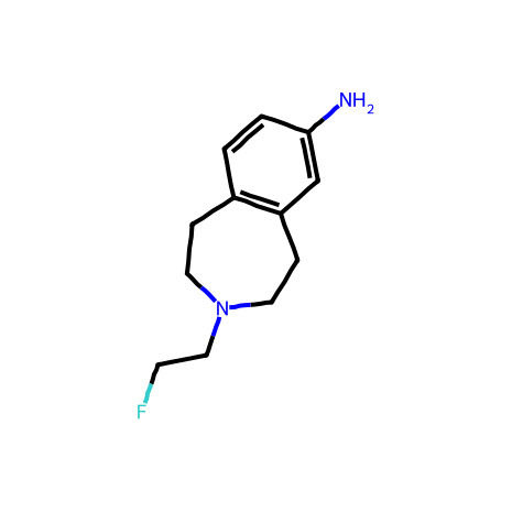 Nc1ccc2c(c1)CCN(CCF)CC2